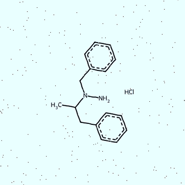 CC(Cc1ccccc1)N(N)Cc1ccccc1.Cl